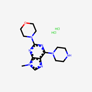 Cl.Cl.Cn1cnc2c(N3CCNCC3)nc(N3CCOCC3)nc21